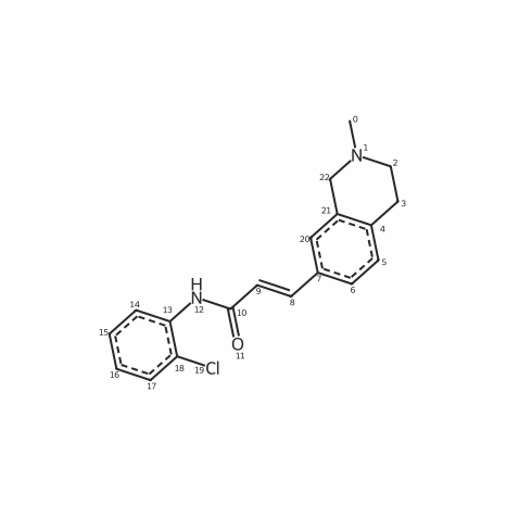 CN1CCc2ccc(C=CC(=O)Nc3ccccc3Cl)cc2C1